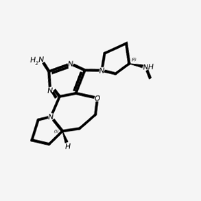 CN[C@@H]1CCN(c2nc(N)nc3c2OCC[C@@H]2CCCN32)C1